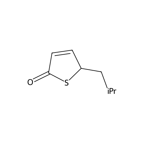 CC(C)CC1C=CC(=O)S1